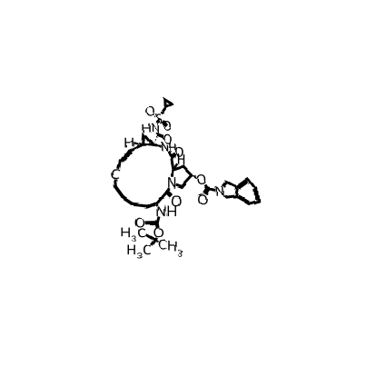 CC(C)(C)OC(=O)N[C@H]1CCCCC/C=C\[C@@H]2C[C@@]2(C(=O)NS(=O)(=O)C2CC2)NC(=O)[C@@H]2C[C@@H](OC(=O)N3Cc4ccccc4C3)CN2C1=O